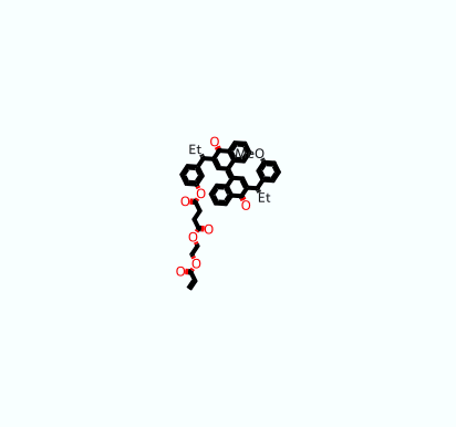 C=CC(=O)OCCOC(=O)CCC(=O)Oc1cccc(C(CC)C2=C/C(=C3/C=C(C(CC)c4cccc(OC)c4)C(=O)c4ccccc43)c3ccccc3C2=O)c1